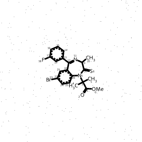 COC(=O)C(C)(C)N1C(=S)C(C)N=C(c2cccc(F)c2)c2cc(Br)ccc21